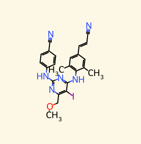 COCc1nc(Nc2ccc(C#N)cc2)nc(Nc2c(C)cc(/C=C/C#N)cc2C)c1I